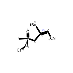 CCOP(C)(=O)C/C(=C\C#N)C(C)(C)C